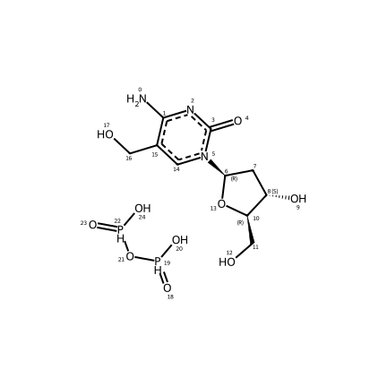 Nc1nc(=O)n([C@H]2C[C@H](O)[C@@H](CO)O2)cc1CO.O=[PH](O)O[PH](=O)O